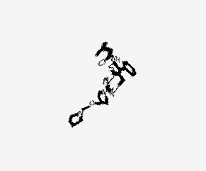 CC(C)CC(=O)Nc1sc2nc(N3CCC(COCCN4CCCC4)CC3)ncc2c1-c1ccccc1